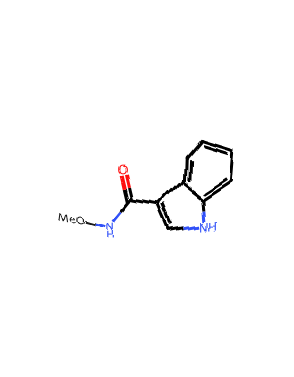 CONC(=O)c1c[nH]c2ccccc12